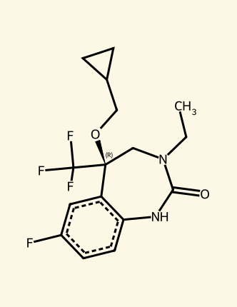 CCN1C[C@@](OCC2CC2)(C(F)(F)F)c2cc(F)ccc2NC1=O